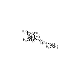 CN(CCCC(C)(C)C)CCCC(C)(C)CCC(C)(C)CCCNCCNCCCC(C)(C)C